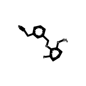 COc1cccc(F)c1OCc1cccc(CC#N)c1